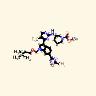 Cc1nc(-c2ccc3c(-c4nc(N[C@H]5CCCN(C(=O)OC(C)(C)C)C5)ncc4C(F)(F)F)cn(COCC[Si](C)(C)C)c3c2)no1